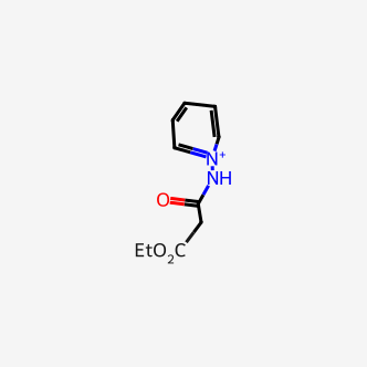 CCOC(=O)CC(=O)N[n+]1ccccc1